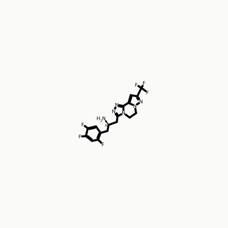 N[C@H](Cc1cc(F)c(F)cc1F)Cc1nnc2n1CCn1nc(C(F)(F)F)cc1-2